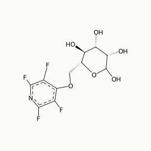 OC1O[C@H](COc2c(F)c(F)nc(F)c2F)[C@@H](O)[C@H](O)[C@@H]1O